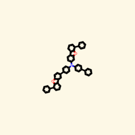 c1ccc(-c2ccc(N(c3ccc(-c4ccc5oc6c(-c7ccccc7)cccc6c5c4)cc3)c3ccc4c(c3)oc3c(-c5ccccc5)cccc34)cc2)cc1